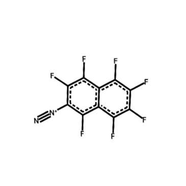 N#[N+]c1c(F)c(F)c2c(F)c(F)c(F)c(F)c2c1F